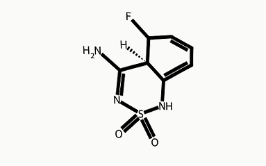 NC1=NS(=O)(=O)NC2=CC=CC(F)[C@@H]21